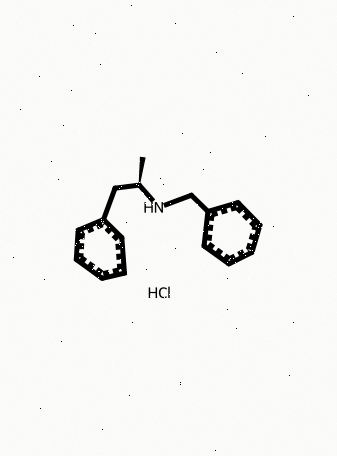 C[C@H](Cc1ccccc1)NCc1ccccc1.Cl